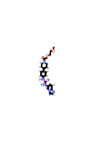 COCCOCC(=O)N1CC=C(c2ccc(NC(=O)Nc3ccc4nccn4c3)cc2)CC1